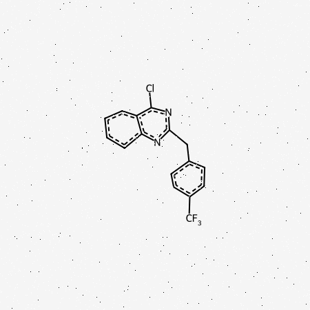 FC(F)(F)c1ccc(Cc2nc(Cl)c3ccccc3n2)cc1